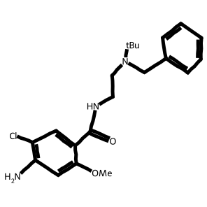 COc1cc(N)c(Cl)cc1C(=O)NCCN(Cc1ccccc1)C(C)(C)C